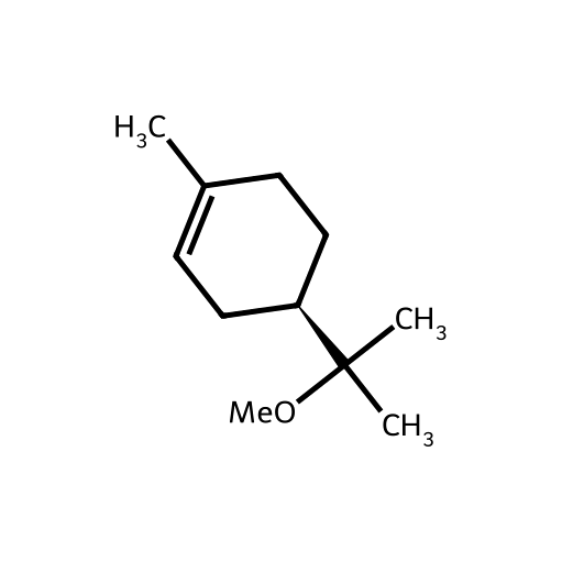 COC(C)(C)[C@H]1CC=C(C)CC1